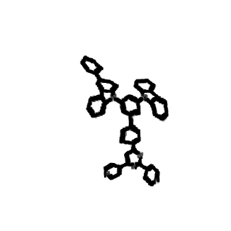 c1ccc(-c2ccc3c(c2)c2ccccc2n3-c2cc(-c3ccc(-c4cc(-c5ccncc5)nc(-c5ccncc5)n4)cc3)cc(-n3c4ccccc4c4ccccc43)c2)cc1